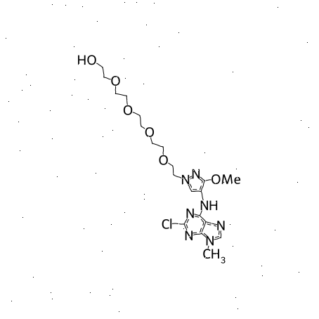 COc1nn(CCOCCOCCOCCOCCO)cc1Nc1nc(Cl)nc2c1ncn2C